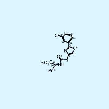 CC(C)[C@H](NC(=O)Cc1csc(-c2cccc(Cl)c2)n1)C(=O)O